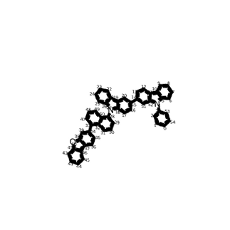 c1ccc(-n2c3ccccc3c3ccc(-c4ccc5c(c4)c4ccccc4n5-c4cccc5c(-c6ccc7c(c6)oc6ccccc67)cccc45)cc32)cc1